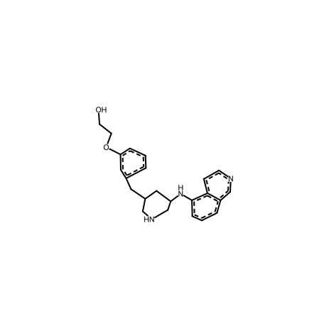 OCCOc1cccc(CC2CNCC(Nc3cccc4cnccc34)C2)c1